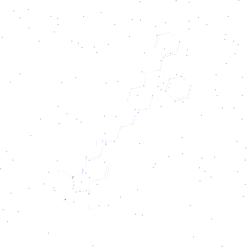 CCOC(=O)C(C)(C)n1nc2ccc(NCCCN3CCC(OC(c4ccccc4)c4ccccc4)CC3)nn2c1=O